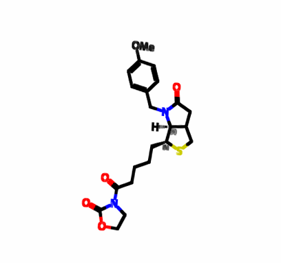 COc1ccc(CN2C(=O)CC3CS[C@@H](CCCCC(=O)N4CCOC4=O)[C@H]32)cc1